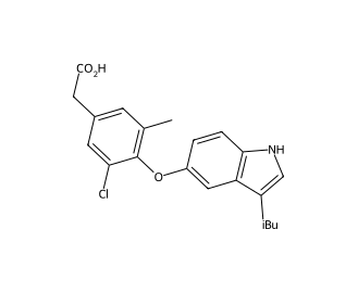 CCC(C)c1c[nH]c2ccc(Oc3c(C)cc(CC(=O)O)cc3Cl)cc12